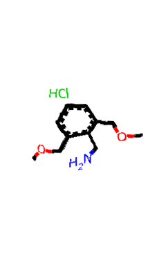 COCc1cccc(COC)c1CN.Cl